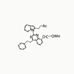 COCCOc1cccc2c(CCc3ccccc3)nc(-n3c(CCC(C)=O)cc4ccccc43)nc12